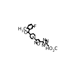 Cc1ccc(F)cc1C(=O)C1CCN(c2cc(-c3nnn(CC(=O)O)n3)on2)CC1